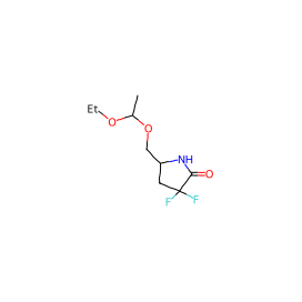 CCOC(C)OCC1CC(F)(F)C(=O)N1